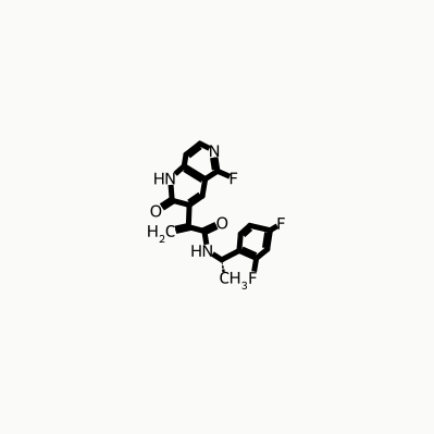 C=C(C(=O)N[C@@H](C)c1ccc(F)cc1F)c1cc2c(F)nccc2[nH]c1=O